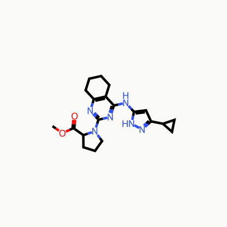 COC(=O)C1CCCN1c1nc2c(c(Nc3cc(C4CC4)n[nH]3)n1)CCCC2